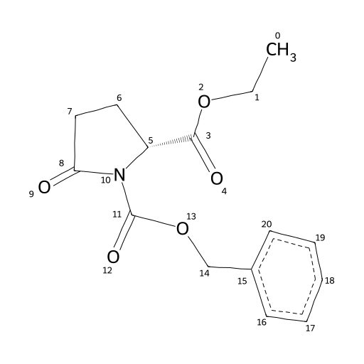 CCOC(=O)[C@H]1CCC(=O)N1C(=O)OCc1ccccc1